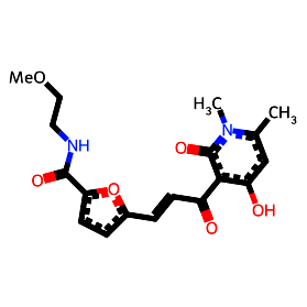 COCCNC(=O)c1ccc(C=CC(=O)c2c(O)cc(C)n(C)c2=O)o1